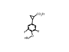 CCCCOc1c(F)cc(C2CC2C(=O)OCC)cc1F